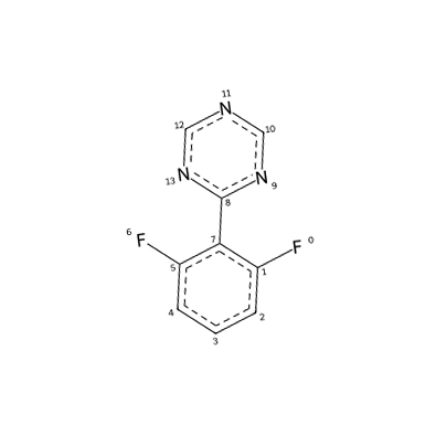 Fc1cccc(F)c1-c1ncncn1